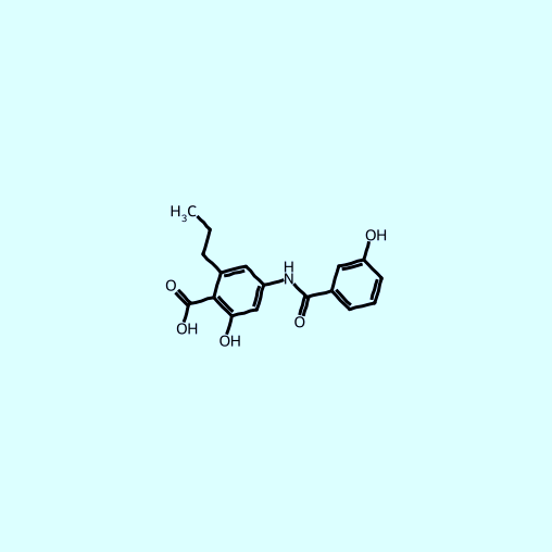 CCCc1cc(NC(=O)c2cccc(O)c2)cc(O)c1C(=O)O